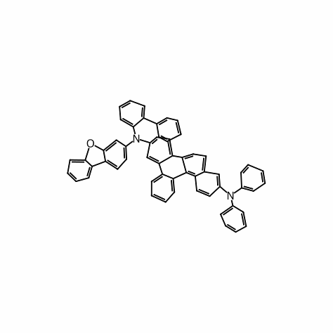 c1ccc(-c2ccccc2N(c2ccc3c(c2)oc2ccccc23)c2ccc3c(c2)c2ccccc2c2c4ccc(N(c5ccccc5)c5ccccc5)cc4ccc32)cc1